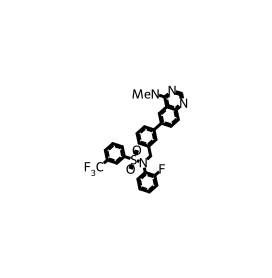 CNc1ncnc2ccc(-c3cccc(CN(c4ccccc4F)S(=O)(=O)c4cccc(C(F)(F)F)c4)c3)cc12